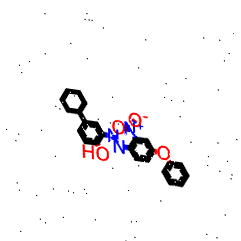 O=[N+]([O-])c1cc(Oc2ccccc2)ccc1N=Nc1cc(C2CCCCC2)ccc1O